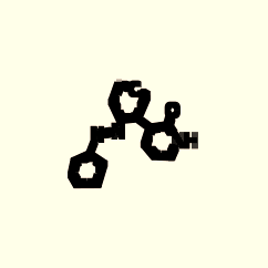 O=c1[nH]cccc1-c1ccccc1N=Nc1ccccc1